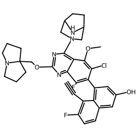 C#Cc1c(F)ccc2cc(O)cc(-c3c(Cl)c(OC)c4c(N5CC6CCC(C5)N6)nc(OCC56CCCN5CCC6)nc4c3F)c12